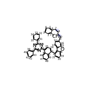 Cc1ccccc1/C=C\C=C\c1ccc2c(c1)oc1cccc(-c3ccc(-c4nc(-c5ccccc5)nc(-c5ccccc5)n4)c4ccccc34)c12